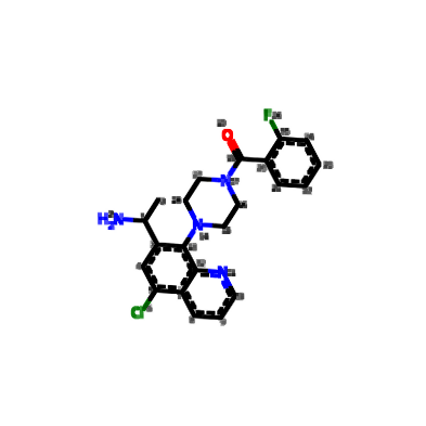 CC(N)c1cc(Cl)c2cccnc2c1N1CCN(C(=O)c2ccccc2F)CC1